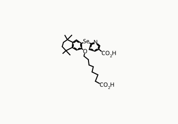 CC1(C)CCC(C)(C)c2cc([Se]c3ccc(C(=O)O)cn3)c(OCCCCCCCC(=O)O)cc21